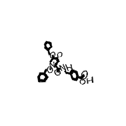 O=C(O)c1ccc(CNC(=O)c2cc(=O)c(OCc3ccccc3)cn2OCc2ccccc2)cc1